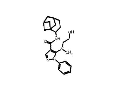 CN(CCO)c1c(C(=O)NC2CCC3CC4CC2(C3)C4)cnn1-c1ccccc1